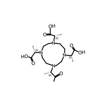 CC(=O)[C@H](C)N1CCN([C@@H](C)C(=O)O)CCN([C@@H](C)C(=O)O)CCN([C@@H](C)C(=O)O)CC1